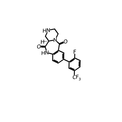 O=C1Nc2ccc(-c3cc(C(F)(F)F)ccc3F)cc2C(=O)N2CCNC[C@H]12